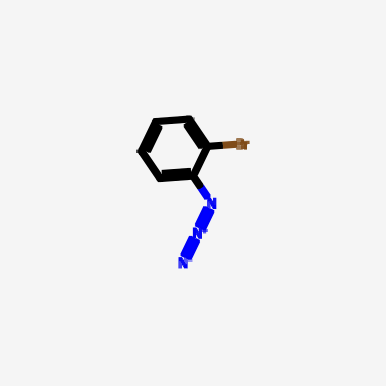 [N-]=[N+]=Nc1c[c]c[c]c1Br